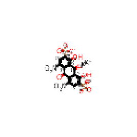 O=C1c2c([N+](=O)[O-])cc(S(=O)(=O)[O-])c(O)c2C(=O)c2c(O)c(S(=O)(=O)[O-])cc([N+](=O)[O-])c21.[K+].[K+]